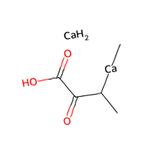 [CH3][Ca][CH](C)C(=O)C(=O)O.[CaH2]